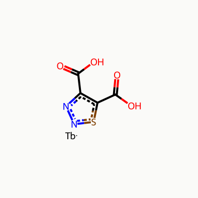 O=C(O)c1nnsc1C(=O)O.[Tb]